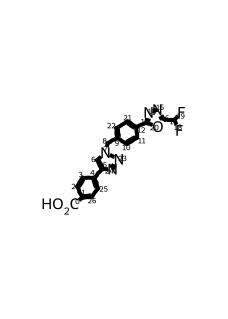 O=C(O)c1ccc(-c2cn(Cc3ccc(-c4nnc(C(F)F)o4)cc3)nn2)cc1